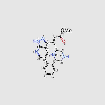 COC(=O)C=Cc1n[nH]c2ncc(-c3ccccc3)c(N3CCNCC3)c12